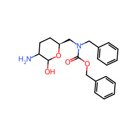 NC1CC[C@@H](CN(Cc2ccccc2)C(=O)OCc2ccccc2)OC1O